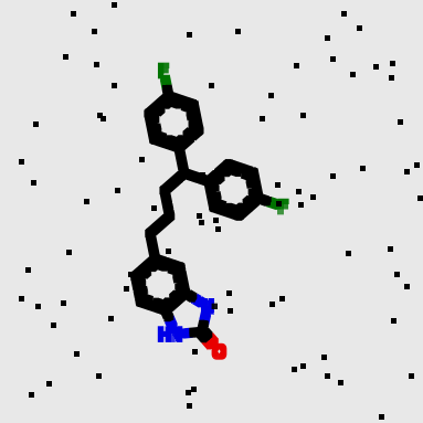 O=C1[N]c2cc(CCCC(c3ccc(F)cc3)c3ccc(F)cc3)ccc2N1